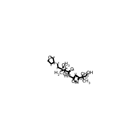 C=S(=O)(CC[C@@H]1CCOC1)C(C)(C)C(=O)Nc1cc(C(C)(C)CO)no1